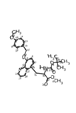 COC(=O)C(Cc1ccc(OCc2ccc(OC)cc2)c2ncccc12)NC(=O)OC(C)(C)C